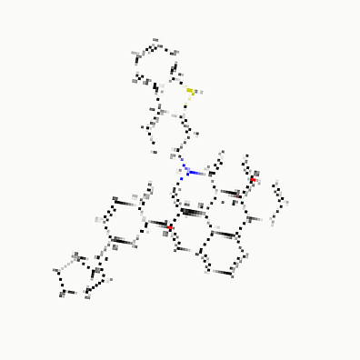 c1ccc(-c2cccc3cccc(-c4ccccc4N(c4ccc5cc(C6CC7CCC6C7)ccc5c4)c4ccc5c(c4)sc4ccccc45)c23)cc1